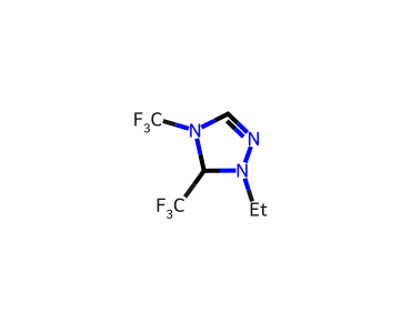 CCN1N=CN(C(F)(F)F)C1C(F)(F)F